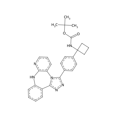 CC(C)(C)OC(=O)NC1(c2ccc(-c3nnc4n3-c3cccnc3Nc3ccccc3-4)cc2)CCC1